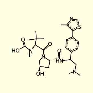 Cc1ncsc1-c1ccc(C(CN(C)C)NC(=O)[C@@H]2C[C@@H](O)CN2C(=O)[C@@H](NC(=O)O)C(C)(C)C)cc1